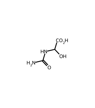 NC(=O)NC(O)C(=O)O